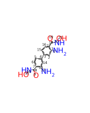 Nc1cc(-c2ccc(C(=O)NO)c(N)c2)ccc1C(=O)NO